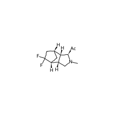 CC(=O)[C@@H]1[C@H]2[C@@H]3C[C@H]([C@H]2CN1C)C(F)(F)C3